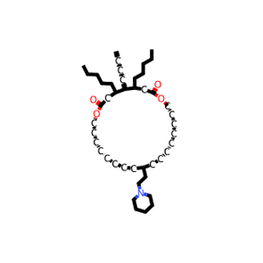 C=C=C=C=C1C(CCCCC)CC(=O)OCCCCCCCCC(CCN2CCCCC2)CCCCCCCCOC(=O)CC1CCCCC